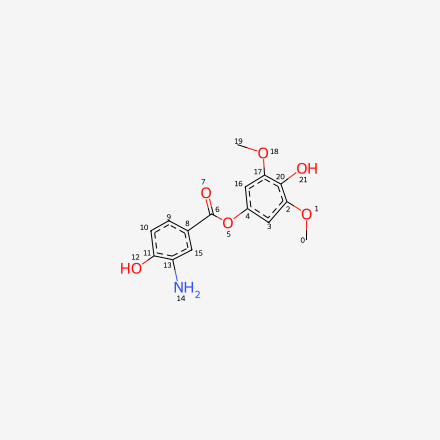 COc1cc(OC(=O)c2ccc(O)c(N)c2)cc(OC)c1O